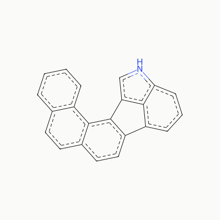 c1ccc2c(c1)ccc1ccc3c(c12)-c1c[nH]c2cccc-3c12